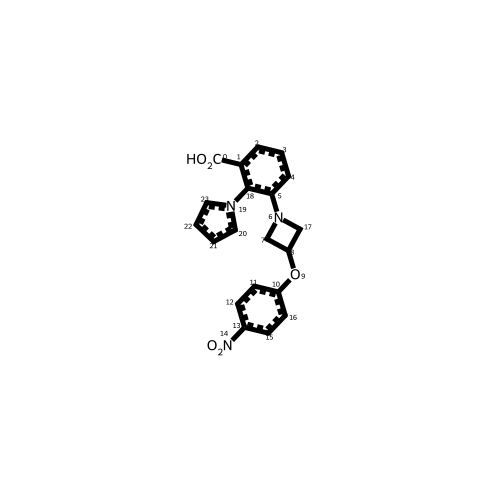 O=C(O)c1cccc(N2CC(Oc3ccc([N+](=O)[O-])cc3)C2)c1-n1cccc1